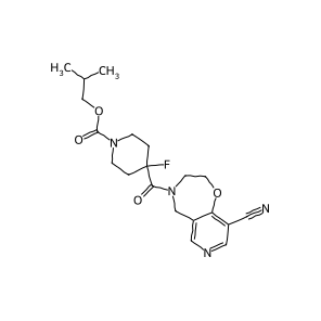 CC(C)COC(=O)N1CCC(F)(C(=O)N2CCOc3c(C#N)cncc3C2)CC1